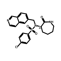 O=C1NCCCC[C@H]1N(Cc1ccc2cnccc2c1)S(=O)(=O)c1ccc(Cl)cc1